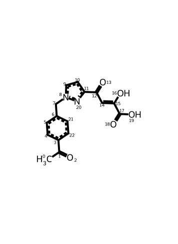 CC(=O)c1ccc(Cn2ccc(C(=O)C=C(O)C(=O)O)n2)cc1